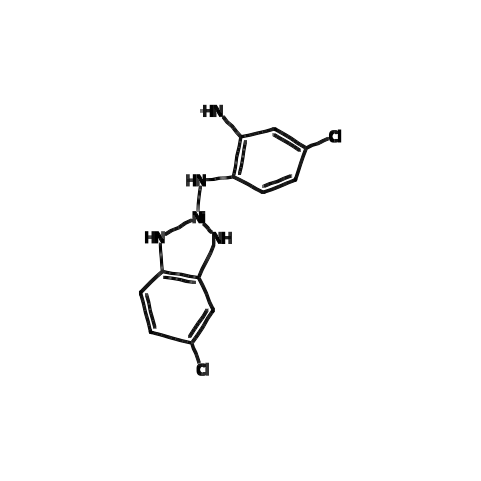 [NH]c1cc(Cl)ccc1[NH][Ni]1[NH]c2ccc(Cl)cc2[NH]1